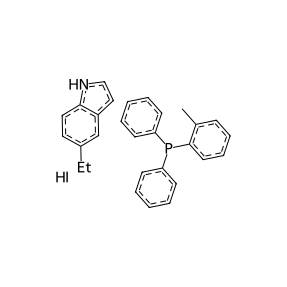 CCc1ccc2[nH]ccc2c1.Cc1ccccc1P(c1ccccc1)c1ccccc1.I